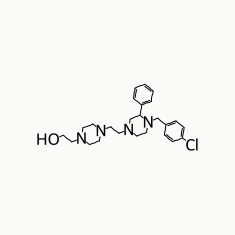 OCCN1CCN(CCN2CCN(Cc3ccc(Cl)cc3)C(c3ccccc3)C2)CC1